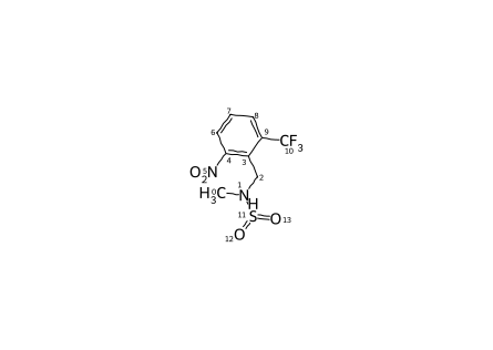 CN(Cc1c([N+](=O)[O-])cccc1C(F)(F)F)[SH](=O)=O